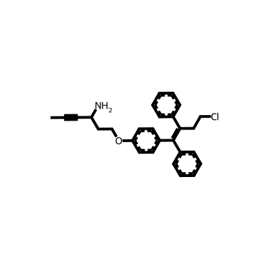 CC#CC(N)CCOc1ccc(C(=C(CCCl)c2ccccc2)c2ccccc2)cc1